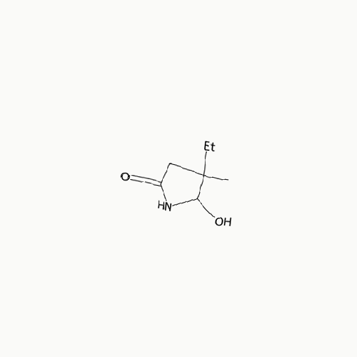 CCC1(C)CC(=O)NC1O